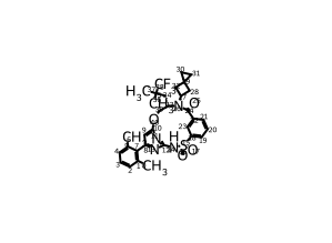 Cc1cccc(C)c1-c1cc2nc(n1)NS(=O)(=O)c1cccc(c1)C(=O)N(C1CC3(CC3)C1)[C@@H](CC(C)(C)C(F)(F)F)CO2